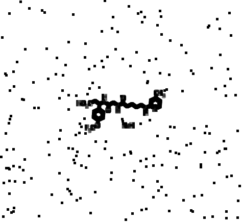 Cc1ccnc(NCCCCC(=O)NCC(=O)NC(CC(=O)O)c2ccc(OC(F)(F)F)cc2)c1.[NaH]